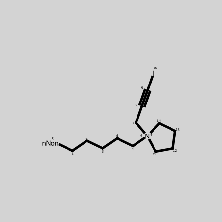 CCCCCCCCCCCCCC[N+]1(CC#CI)CCCC1